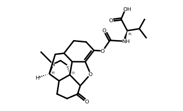 CC(C)[C@@H](NC(=O)OC1=C2OC3C(=O)CCC4[C@H]5CC(CC1)C2[C@@]34CCN5C)C(=O)O